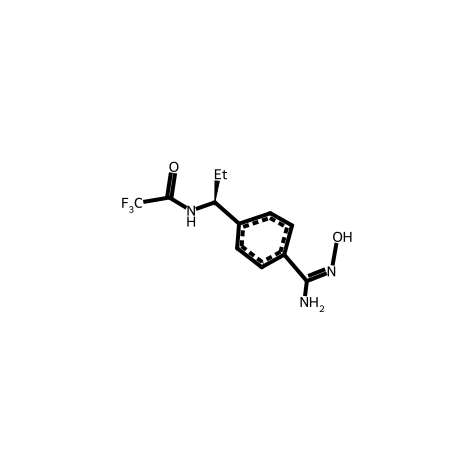 CC[C@H](NC(=O)C(F)(F)F)c1ccc(/C(N)=N\O)cc1